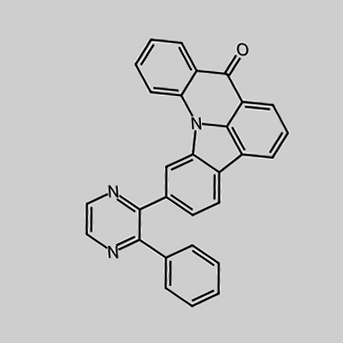 O=c1c2ccccc2n2c3cc(-c4nccnc4-c4ccccc4)ccc3c3cccc1c32